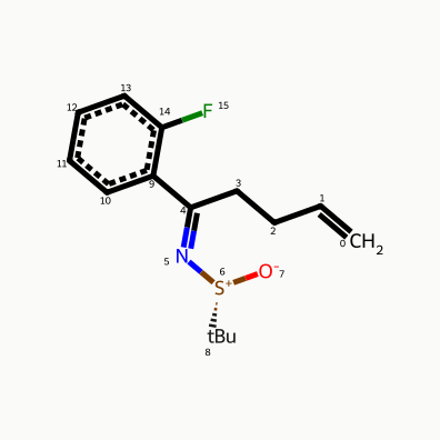 C=CCC/C(=N\[S@+]([O-])C(C)(C)C)c1ccccc1F